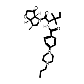 CCCN1CCN(c2ccc(C(=O)N[C@H](C(=O)N3C[C@@H](C)[C@H]4OCC(=O)[C@H]43)C(C)(C)CC)cc2)CC1